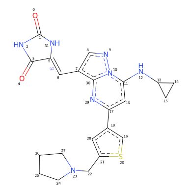 O=C1NC(=O)/C(=C/c2cnn3c(NC4CC4)cc(-c4csc(CN5CCCC5)c4)nc23)N1